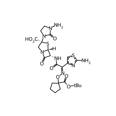 CC(C)(C)OC(=O)C1(O/N=C(\C(=O)N[C@@H]2C(=O)N3C[C@@](C(=O)O)(N4CCN(N)C4=O)S[C@H]23)c2csc(N)n2)CCCC1